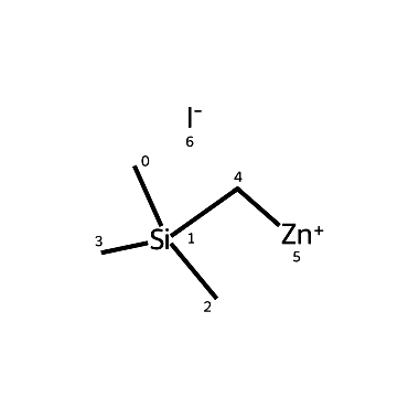 C[Si](C)(C)[CH2][Zn+].[I-]